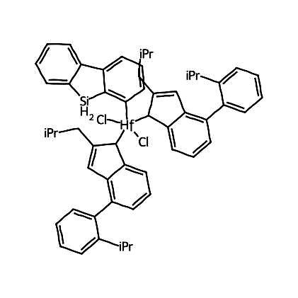 CC(C)CC1=Cc2c(-c3ccccc3C(C)C)cccc2[CH]1[Hf]([Cl])([Cl])([c]1cccc2c1[SiH2]c1ccccc1-2)[CH]1C(CC(C)C)=Cc2c(-c3ccccc3C(C)C)cccc21